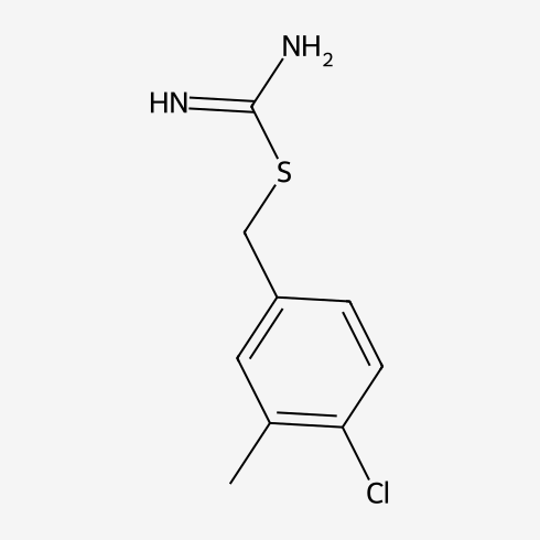 Cc1cc(CSC(=N)N)ccc1Cl